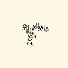 CCc1ccc2[nH]c(NC(=O)C3(C(=O)NCc4ccccc4Cl)CCN(C(=O)CNC(=O)OC(C)(C)C)CC3)nc2c1